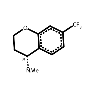 CN[C@@H]1CCOc2cc(C(F)(F)F)ccc21